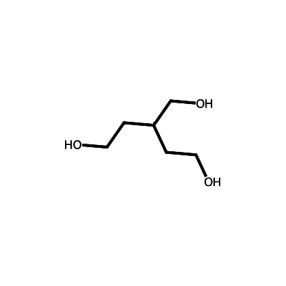 OCC[C](CO)CCO